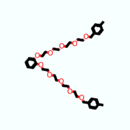 Cc1ccc(COCCOCCOCCOCCOc2ccccc2OCCOCCOCCOCCOCc2ccc(C)cc2)cc1